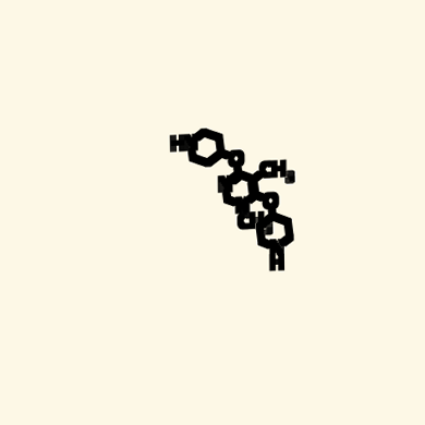 CC1=C(OC2CCNCC2)N(C)CN=C1OC1CCNCC1